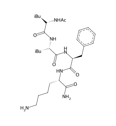 CC[C@H](C)[C@H](NC(C)=O)C(=O)N[C@H](C(=O)N[C@@H](Cc1ccccc1)C(=O)N[C@@H](CCCCN)C(N)=O)[C@@H](C)CC